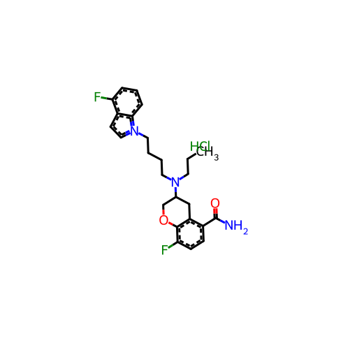 CCCN(CCCCn1ccc2c(F)cccc21)C1COc2c(F)ccc(C(N)=O)c2C1.Cl